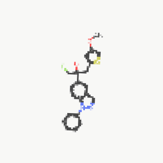 OC(CF)(Cc1cc(OC(F)(F)F)cs1)c1ccc2c(cnn2-c2ccccc2)c1